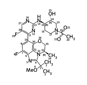 COC(C)(C)c1nc2c(F)cc(-c3nc(N[C@@H]4CCN(S(C)(=O)=O)C[C@H]4O)ncc3F)c3c2n1[C@H](C)CO3